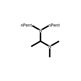 CCCCCN(CCCCC)C(C)N(C)C